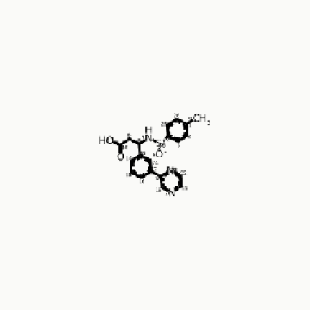 Cc1ccc([S@@+]([O-])NC(CC(=O)O)c2cccc(-c3cnccn3)c2)cc1